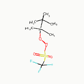 CC(C)(C)[Si](C)(C)OOS(=O)(=O)C(F)(F)F